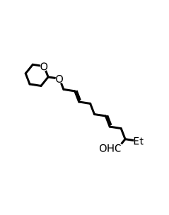 CCC(C=O)CC=CCCC=CCOC1CCCCO1